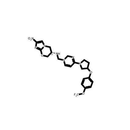 O=[N+]([O-])c1cn2c(n1)OC[C@@H](NCN1C=CC(N3CCC(Oc4ccc(OC(F)(F)F)cc4)C3)=NC1)C2